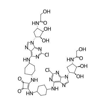 O=C(CO)N[C@H]1C[C@@H](n2cnc3c(NC4CCC(Nc5c(N[C@H]6CC[C@H](Nc7nc(Cl)nc8c7ncn8[C@@H]7C[C@H](NC(=O)CO)[C@@H](O)[C@H]7O)CC6)c(=O)c5=O)CC4)nc(Cl)nc32)[C@H](O)[C@@H]1O